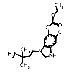 CCOC(=O)Oc1cc2c(cc1Cl)NCN2CCC(C)(C)N